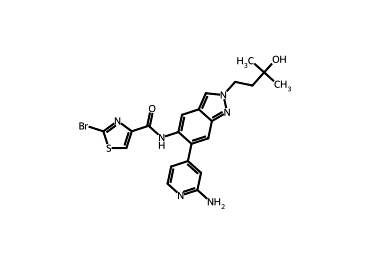 CC(C)(O)CCn1cc2cc(NC(=O)c3csc(Br)n3)c(-c3ccnc(N)c3)cc2n1